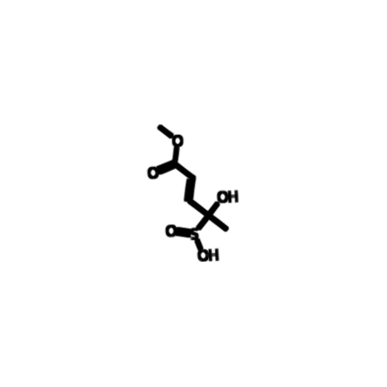 COC(=O)C=CC(C)(O)S(=O)O